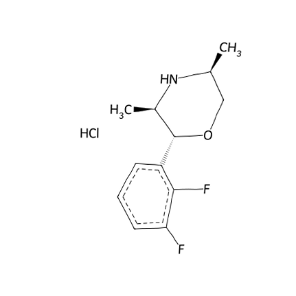 C[C@H]1CO[C@H](c2cccc(F)c2F)[C@@H](C)N1.Cl